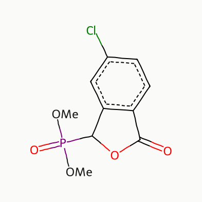 COP(=O)(OC)C1OC(=O)c2ccc(Cl)cc21